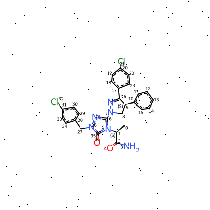 C[C@@H](C(N)=O)n1c(N2C[C@H](c3ccccc3)C(c3ccc(Cl)cc3)=N2)nn(Cc2ccc(Cl)cc2)c1=O